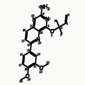 C=CC(C)(C)Oc1nc(N)nc2ccc(-c3ccc(OC)c(OC)c3)nc12